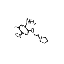 Cc1cc(N)c(OCCN2CCCC2)cc1Cl